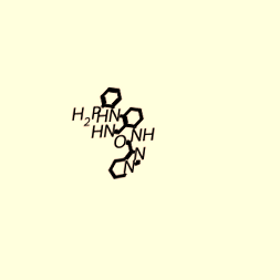 N=CC1=C(Nc2ccccc2P)CCCC1NC(=O)c1ncn2c1CCCC2